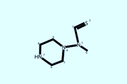 CN([C]=S)N1CCNCC1